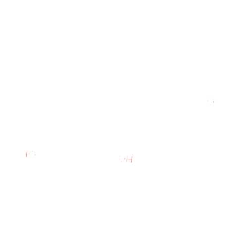 Oc1ccc(CCC2CCOC2)c(O)c1